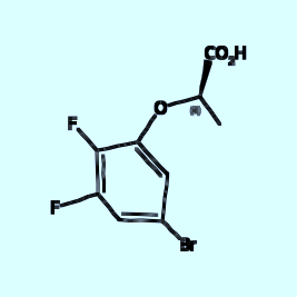 C[C@@H](Oc1cc(Br)cc(F)c1F)C(=O)O